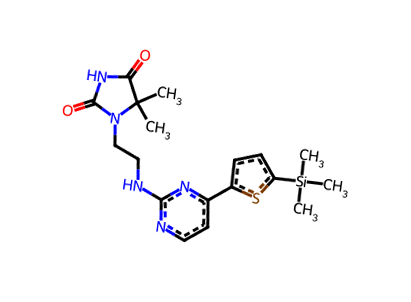 CC1(C)C(=O)NC(=O)N1CCNc1nccc(-c2ccc([Si](C)(C)C)s2)n1